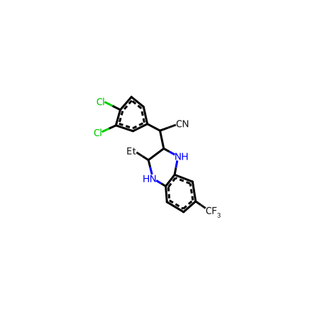 CCC1Nc2ccc(C(F)(F)F)cc2NC1C(C#N)c1ccc(Cl)c(Cl)c1